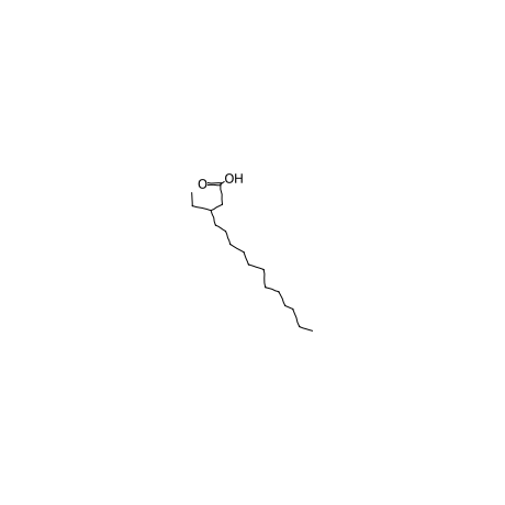 CCCCCCCCCCCCC(CC)CC(=O)O